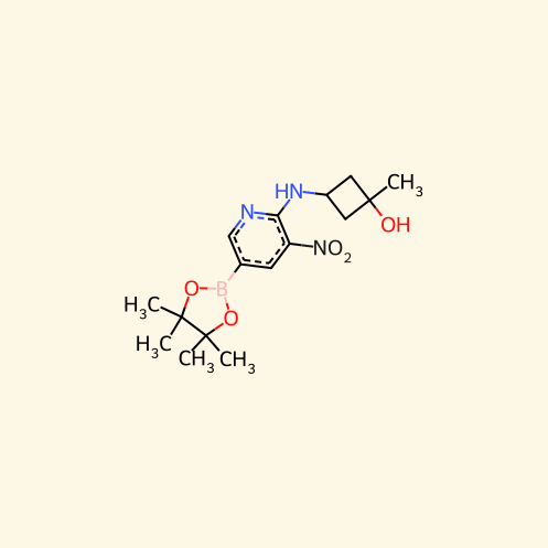 CC1(O)CC(Nc2ncc(B3OC(C)(C)C(C)(C)O3)cc2[N+](=O)[O-])C1